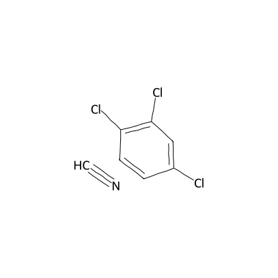 C#N.Clc1ccc(Cl)c(Cl)c1